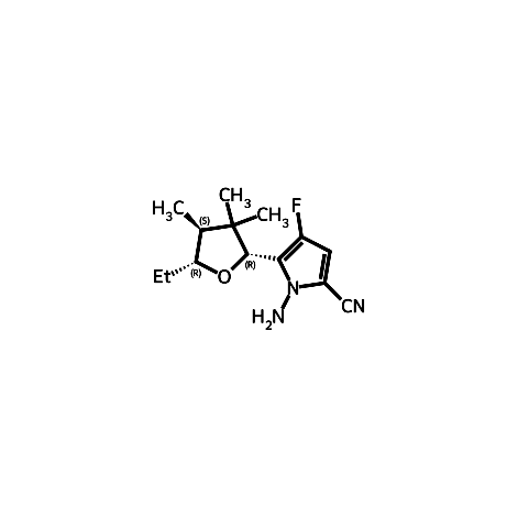 CC[C@H]1O[C@@H](c2c(F)cc(C#N)n2N)C(C)(C)[C@@H]1C